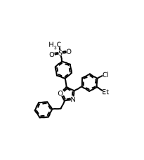 CCc1cc(-c2nc(Cc3ccccc3)oc2-c2ccc(S(C)(=O)=O)cc2)ccc1Cl